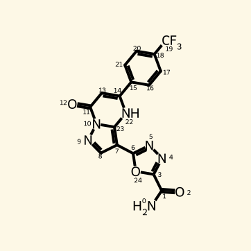 NC(=O)c1nnc(-c2cnn3c(=O)cc(-c4ccc(C(F)(F)F)cc4)[nH]c23)o1